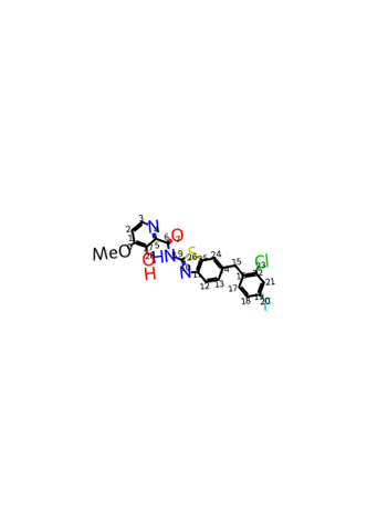 COc1ccnc(C(=O)Nc2nc3ccc(Cc4ccc(F)cc4Cl)cc3s2)c1O